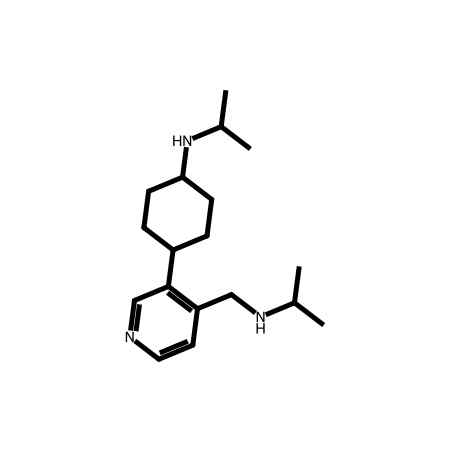 CC(C)NCc1ccncc1C1CCC(NC(C)C)CC1